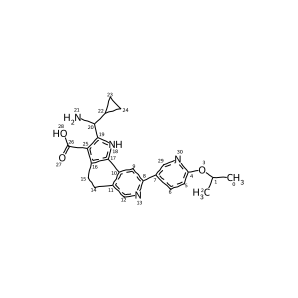 CC(C)Oc1ccc(-c2cc3c(cn2)CCc2c-3[nH]c(C(N)C3CC3)c2C(=O)O)cn1